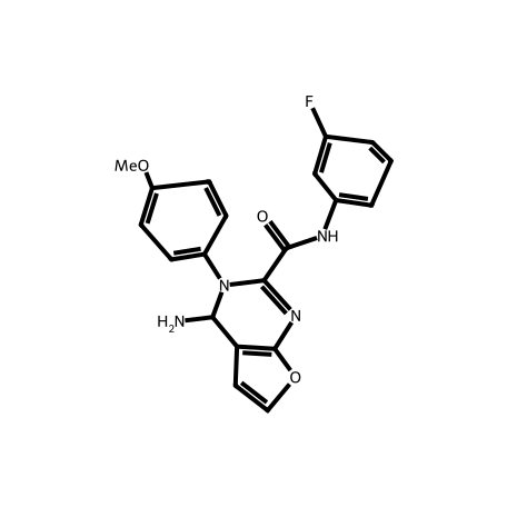 COc1ccc(N2C(C(=O)Nc3cccc(F)c3)=Nc3occc3C2N)cc1